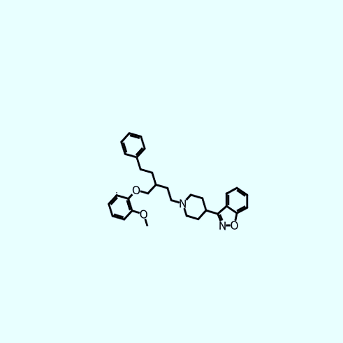 COc1ccc[c]c1OCC(CCc1ccccc1)CCN1CCC(c2noc3ccccc23)CC1